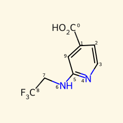 O=C(O)c1ccnc(NCC(F)(F)F)c1